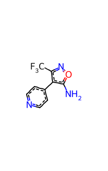 Nc1onc(C(F)(F)F)c1-c1ccncc1